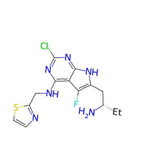 CC[C@H](N)Cc1[nH]c2nc(Cl)nc(NCc3nccs3)c2c1F